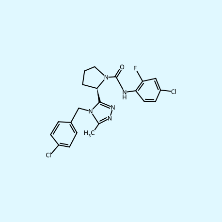 Cc1nnc([C@H]2CCCN2C(=O)Nc2ccc(Cl)cc2F)n1Cc1ccc(Cl)cc1